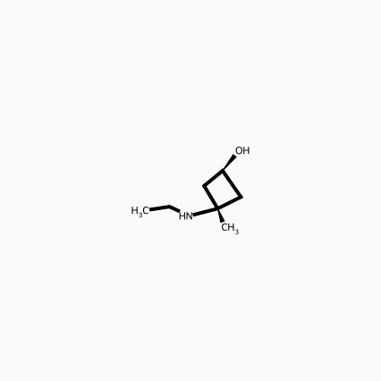 CCN[C@]1(C)C[C@@H](O)C1